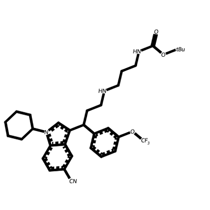 CC(C)(C)OC(=O)NCCCNCCC(c1cccc(OC(F)(F)F)c1)c1cn(C2CCCCC2)c2ccc(C#N)cc12